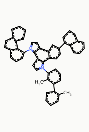 Cc1ccccc1-c1cccc(-n2ccc3c2c2ccc(-c4cccc5ccccc45)cc2c2ccn(-c4cccc5ccc6ccccc6c45)c23)c1C